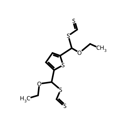 CCOC(SC=S)c1ccc(C(OCC)SC=S)s1